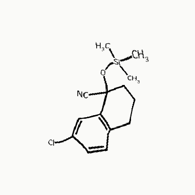 C[Si](C)(C)OC1(C#N)CCCc2ccc(Cl)cc21